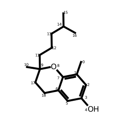 Cc1cc(O)cc2c1OC(C)(CCCC(C)C)CC2